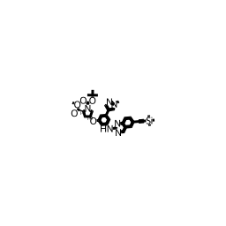 COC(=O)[C@@H]1C[C@H](Oc2cc(Nc3ncc4cc(C#C[Si](C)(C)C)ccc4n3)cc(-c3cnn(C)c3)c2)CN1C(=O)OC(C)(C)C